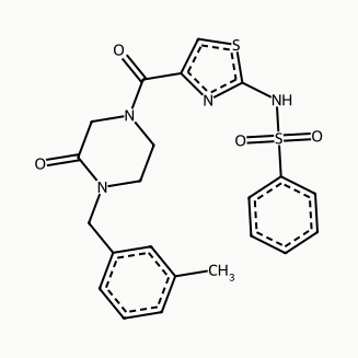 Cc1cccc(CN2CCN(C(=O)c3csc(NS(=O)(=O)c4ccccc4)n3)CC2=O)c1